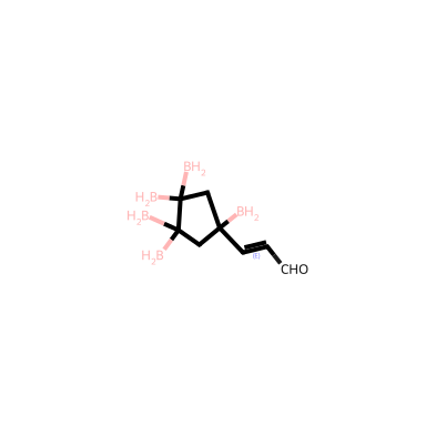 BC1(/C=C/C=O)CC(B)(B)C(B)(B)C1